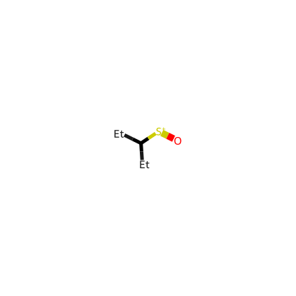 [CH2]CC(CC)[S+]=O